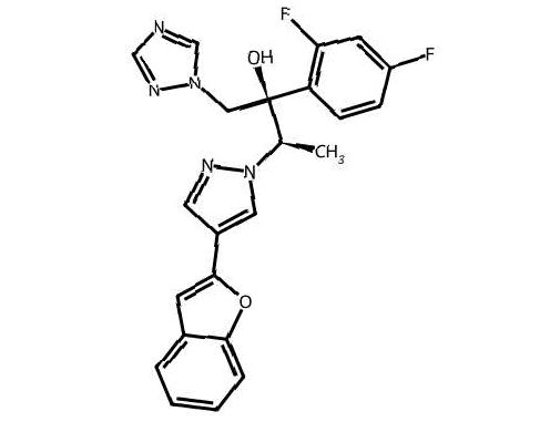 C[C@@H](n1cc(-c2cc3ccccc3o2)cn1)[C@](O)(Cn1cncn1)c1ccc(F)cc1F